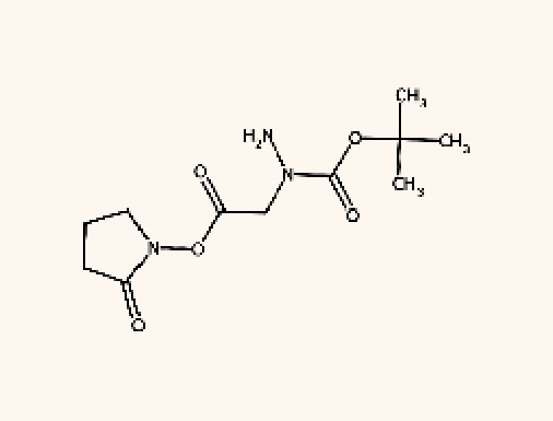 CC(C)(C)OC(=O)N(N)CC(=O)ON1CCCC1=O